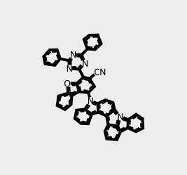 N#Cc1cc(-n2c3ccccc3c3c4c5cccc6c7ccccc7n(c4ccc32)c65)c2c(oc3ccccc32)c1-c1nc(-c2ccccc2)nc(-c2ccccc2)n1